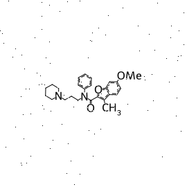 COc1ccc2c(C)c(C(=O)N(CCCN3CCCCC3)c3ccccc3)oc2c1